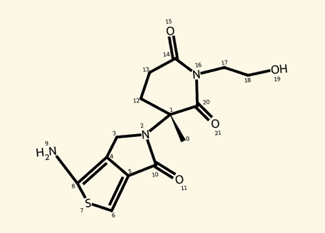 C[C@@]1(N2Cc3c(csc3N)C2=O)CCC(=O)N(CCO)C1=O